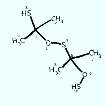 CC(C)(S)OSC(C)(C)OS